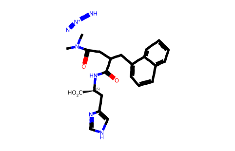 CN(C)C(=O)CC(Cc1cccc2ccccc12)C(=O)N[C@@H](Cc1c[nH]cn1)C(=O)O.[N-]=[N+]=N